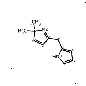 CC1(C)C=CC(Cc2ccc[nH]2)=N1